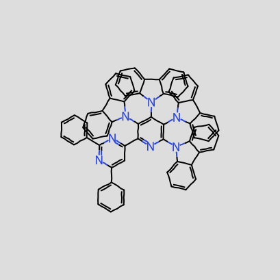 c1ccc(-c2cc(-c3nc(-n4c5ccccc5c5ccccc54)c(-n4c5ccccc5c5ccccc54)c(-n4c5ccccc5c5ccccc54)c3-n3c4ccccc4c4ccccc43)nc(-c3ccccc3)n2)cc1